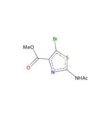 COC(=O)c1nc(NC(C)=O)sc1Br